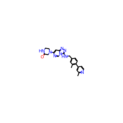 Cc1cc(-c2ccc(CNc3nnc4cc(N5CCNC(=O)C5)ncn34)cc2C)ccn1